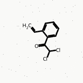 C=Cc1ccccc1C(=O)C(Cl)Cl